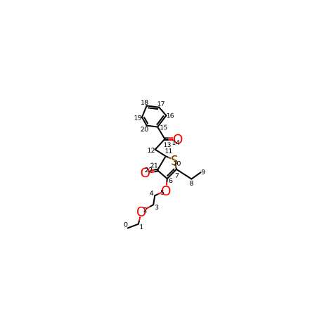 CCOCCOC1=C(CC)SC(CC(=O)c2ccccc2)C1=O